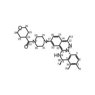 Cc1cccc([C@@H](C)Nc2nnc(C)c3ccc(N4CCN(C(=O)C5CCOCC5)CC4)cc23)c1C